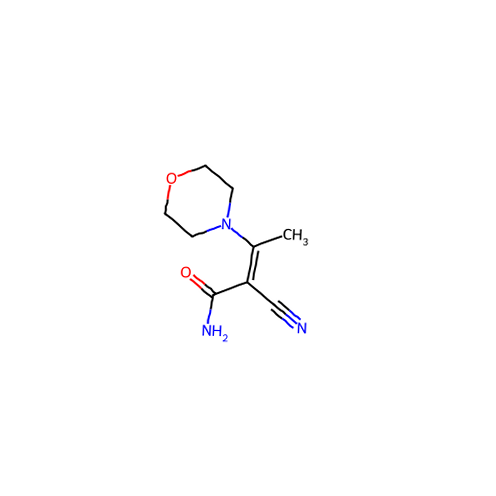 C/C(=C(\C#N)C(N)=O)N1CCOCC1